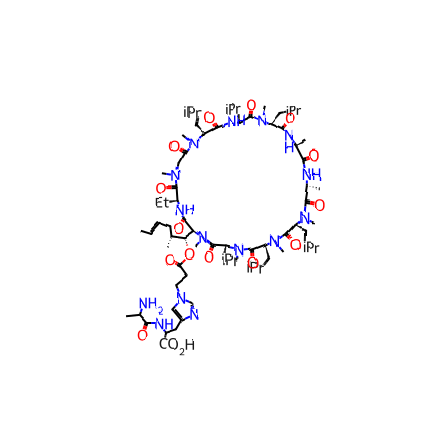 C/C=C/C[C@@H](C)[C@@H](OC(=O)CCn1cnc(CC(NC(=O)C(C)N)C(=O)O)c1)[C@H]1C(=O)N[C@@H](CC)C(=O)N(C)CC(=O)N(C)[C@@H](CC(C)C)C(=O)NC(C(C)C)C(=O)N(C)[C@@H](CC(C)C)C(=O)N[C@@H](C)C(=O)N[C@H](C)C(=O)N(C)[C@@H](CC(C)C)C(=O)N(C)[C@@H](CC(C)C)C(=O)N(C)[C@@H](C(C)C)C(=O)N1C